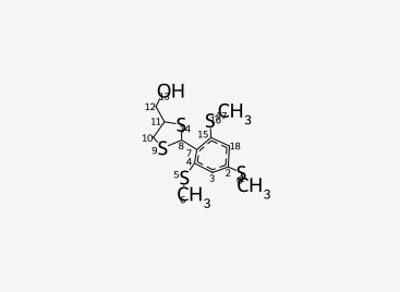 CSc1cc(SC)c(C2SCC(CO)S2)c(SC)c1